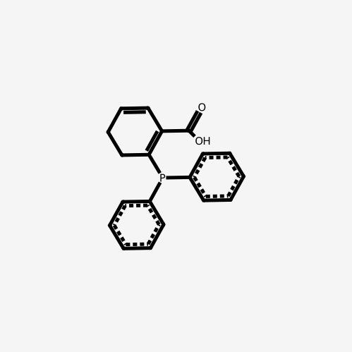 O=C(O)C1=C(P(c2ccccc2)c2ccccc2)CCC=C1